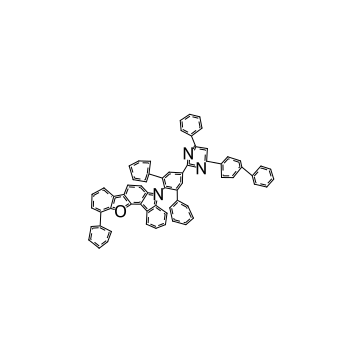 c1ccc(-c2ccc(-c3cc(-c4ccccc4)nc(-c4cc(-c5ccccc5)c(-n5c6ccccc6c6c7oc8c(-c9ccccc9)cccc8c7ccc65)c(-c5ccccc5)c4)n3)cc2)cc1